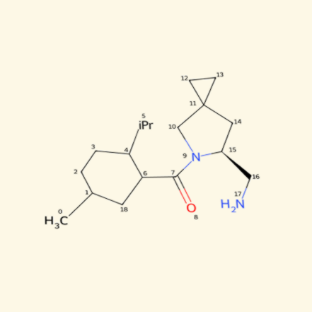 CC1CCC(C(C)C)C(C(=O)N2CC3(CC3)C[C@H]2CN)C1